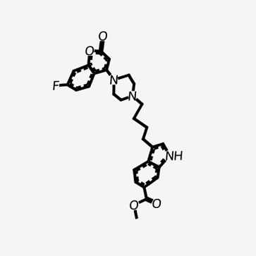 COC(=O)c1ccc2c(CCCCN3CCN(c4cc(=O)oc5cc(F)ccc45)CC3)c[nH]c2c1